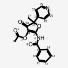 CC(=O)OC1=C(NC(=O)c2ccccc2)OC(C)(c2ccncc2)C1=O